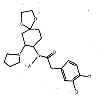 CN(C(=O)Cc1ccc(Cl)c(Cl)c1)C1CCC2(CC1N1CCCC1)OCCO2